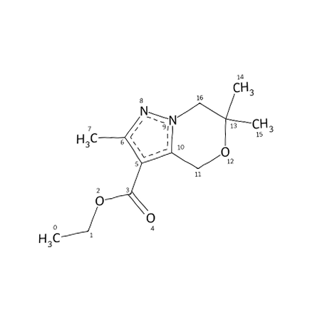 CCOC(=O)c1c(C)nn2c1COC(C)(C)C2